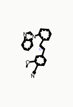 COc1cc(/C=C/c2ccccc2-n2cnc3ccccc32)ccc1C#N